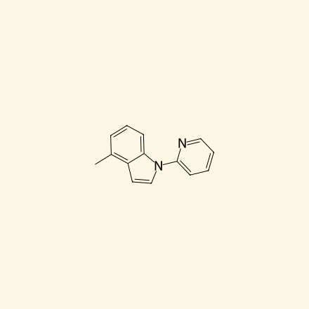 Cc1cccc2c1ccn2-c1ccccn1